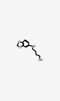 OCCCCNc1ccc2c(c1)OCO2